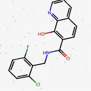 O=C(NCc1c(F)cccc1Cl)c1ccc2cccnc2c1O